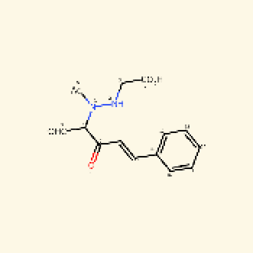 CC(=O)N(NCC(=O)O)C([C]=O)C(=O)C=Cc1ccccc1